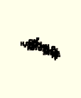 CC(C)(C)c1cc(F)c(CC(=O)Nc2ccnc(C(=O)NC3(C(F)(F)F)CC3)c2)cc1O